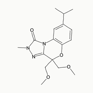 COCC1(COC)Oc2ccc(C(C)C)cc2-n2c1nn(C)c2=O